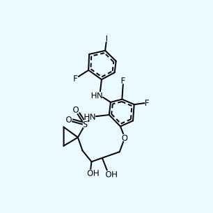 O=S1(=O)Nc2c(cc(F)c(F)c2Nc2ccc(I)cc2F)OCC(O)C(O)CC12CC2